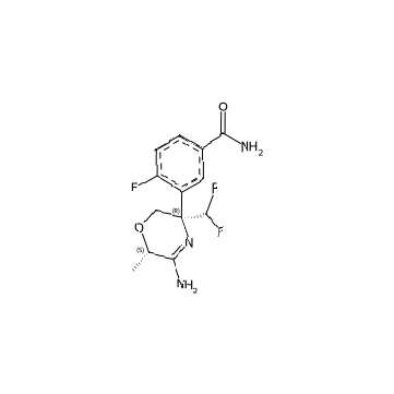 C[C@@H]1OC[C@](c2cc(C(N)=O)ccc2F)(C(F)F)N=C1N